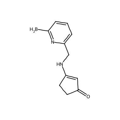 Bc1cccc(CNC2=CC(=O)CC2)n1